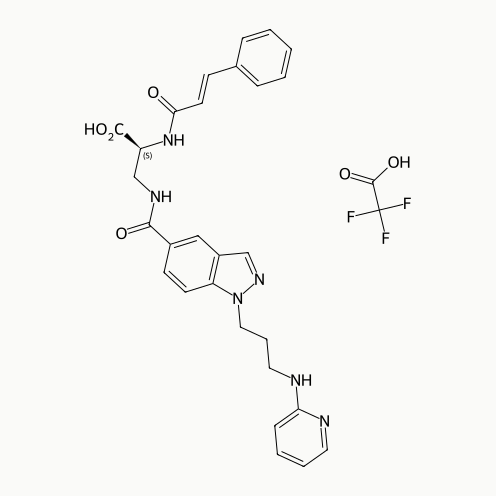 O=C(C=Cc1ccccc1)N[C@@H](CNC(=O)c1ccc2c(cnn2CCCNc2ccccn2)c1)C(=O)O.O=C(O)C(F)(F)F